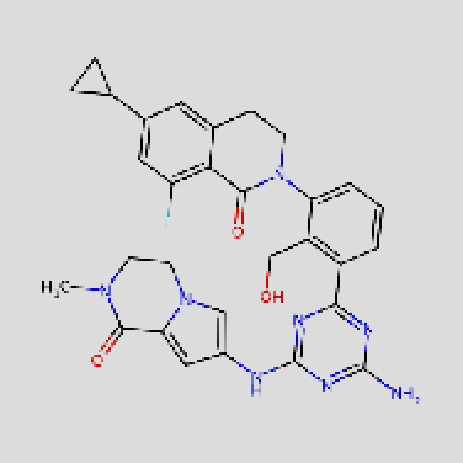 CN1CCn2cc(Nc3nc(N)nc(-c4cccc(N5CCc6cc(C7CC7)cc(F)c6C5=O)c4CO)n3)cc2C1=O